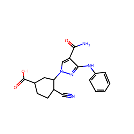 N#CC1CCC(C(=O)O)CC1n1cc(C(N)=O)c(Nc2ccccc2)n1